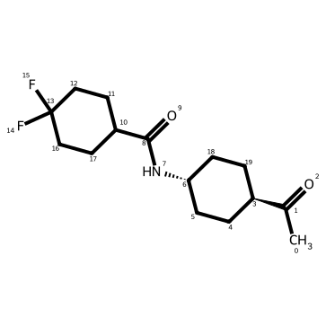 CC(=O)[C@H]1CC[C@H](NC(=O)C2CCC(F)(F)CC2)CC1